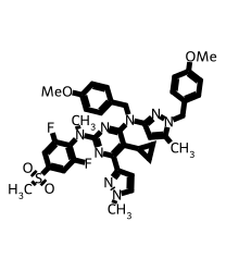 COc1ccc(CN(c2cc(C)n(Cc3ccc(OC)cc3)n2)c2nc(N(C)c3c(F)cc(S(C)(=O)=O)cc3F)nc(-c3ccn(C)n3)c2C2CC2)cc1